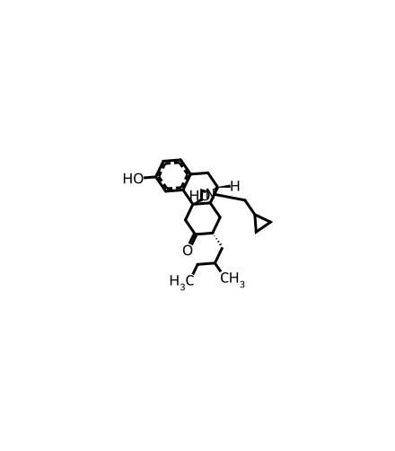 CCC(C)C[C@H]1C[C@@]2(O)[C@H]3Cc4ccc(O)cc4[C@@]2(CCN3CC2CC2)CC1=O